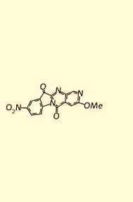 COc1cc2c(=O)n3c(nc2cn1)C(=O)c1cc([N+](=O)[O-])ccc1-3